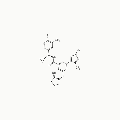 Cc1cc([C@@H](NC(=O)c2cc(CN3CCCC3=N)cc(-c3cn(C(C)C)nc3C(F)(F)F)c2)C2CC2)ccc1F